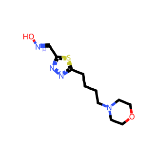 O/N=C/c1nnc(CCCCN2CCOCC2)s1